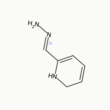 N/N=C/C1=CC=CCN1